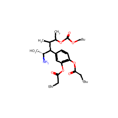 CCC(C)OC(=O)OC(C)C(C)C(c1ccc(OC(=O)CC(C)(C)C)c(OC(=O)CC(C)(C)C)c1)[C@H](N)C(=O)O